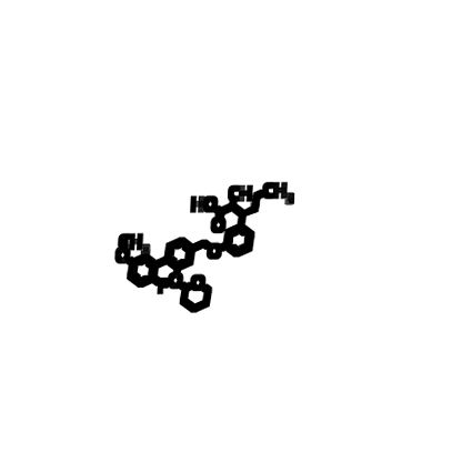 CCC[C@@H](c1cccc(OCc2ccc(-c3cc(OC)ccc3F)c(OC3CCCCO3)c2)c1)C(C)C(=O)O